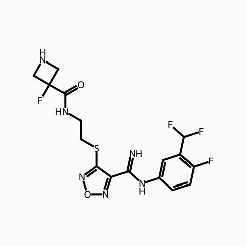 N=C(Nc1ccc(F)c(C(F)F)c1)c1nonc1SCCNC(=O)C1(F)CNC1